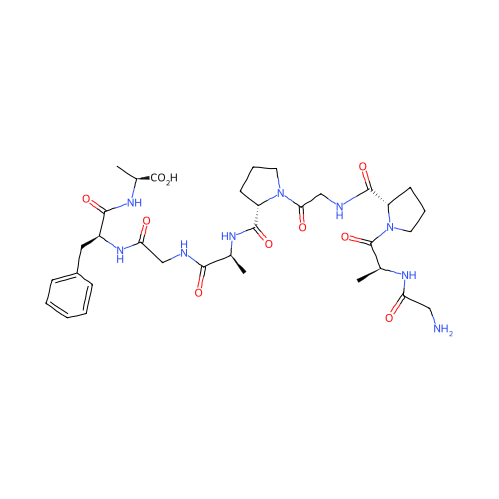 C[C@H](NC(=O)[C@H](Cc1ccccc1)NC(=O)CNC(=O)[C@H](C)NC(=O)[C@@H]1CCCN1C(=O)CNC(=O)[C@@H]1CCCN1C(=O)[C@H](C)NC(=O)CN)C(=O)O